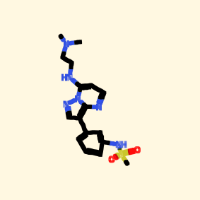 CN(C)CCNc1ccnc2c(-c3cccc(NS(C)(=O)=O)c3)cnn12